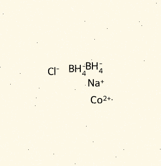 [BH4-].[BH4-].[Cl-].[Co+2].[Na+]